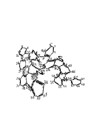 c1ccc(-c2nc(-c3ccccc3)nc(-c3cc(-c4c(-c5ccccc5)cccc4-c4ccccc4)cnc3-c3ccc4sc5ccc6c(c7ccccc7n6-c6ccccc6)c5c4c3)n2)cc1